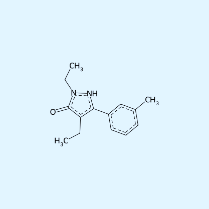 CCc1c(-c2cccc(C)c2)[nH]n(CC)c1=O